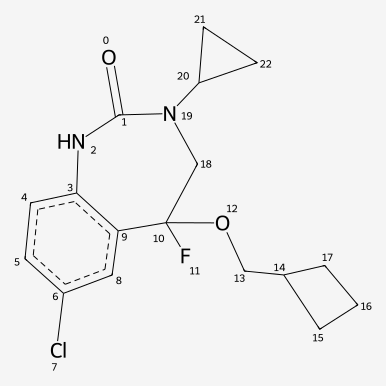 O=C1Nc2ccc(Cl)cc2C(F)(OCC2CCC2)CN1C1CC1